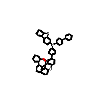 c1ccc(-c2ccc(N(c3ccc(-c4ccc5c(c4)C4(c6ccccc6O5)c5ccccc5-c5ccccc5-c5ccccc54)cc3)c3ccc4c(c3)sc3ccccc34)cc2)cc1